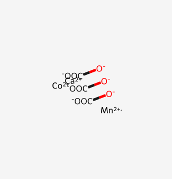 O=C([O-])[O-].O=C([O-])[O-].O=C([O-])[O-].[Ca+2].[Co+2].[Mn+2]